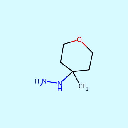 NNC1(C(F)(F)F)CCOCC1